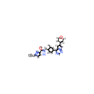 Cc1cc(-c2ncnn3cc(C4=CCOCC4)cc23)ccc1CNC(=O)c1ccn(C(C)(C)C)n1